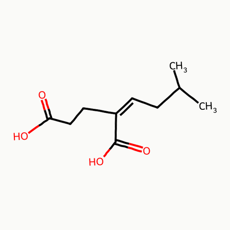 CC(C)CC=C(CCC(=O)O)C(=O)O